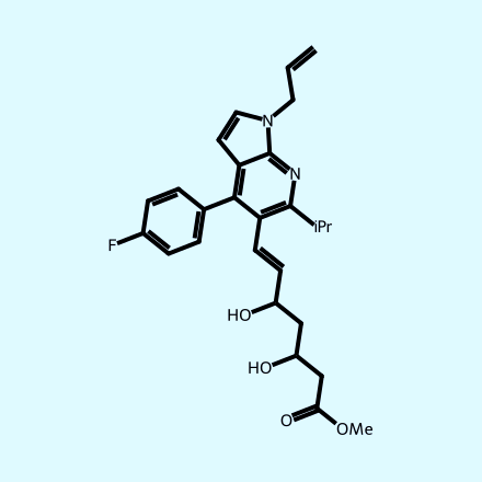 C=CCn1ccc2c(-c3ccc(F)cc3)c(/C=C/C(O)CC(O)CC(=O)OC)c(C(C)C)nc21